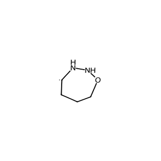 [CH]1CCCONN1